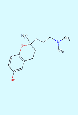 CN(C)CCCC1(C)CCc2cc(O)ccc2O1